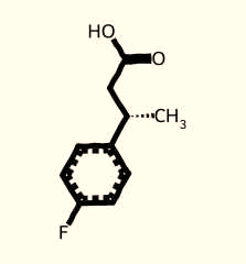 C[C@@H](CC(=O)O)c1ccc(F)cc1